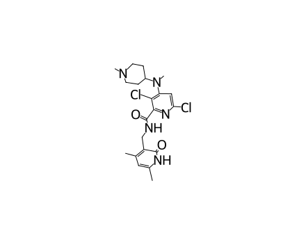 Cc1cc(C)c(CNC(=O)c2nc(Cl)cc(N(C)C3CCN(C)CC3)c2Cl)c(=O)[nH]1